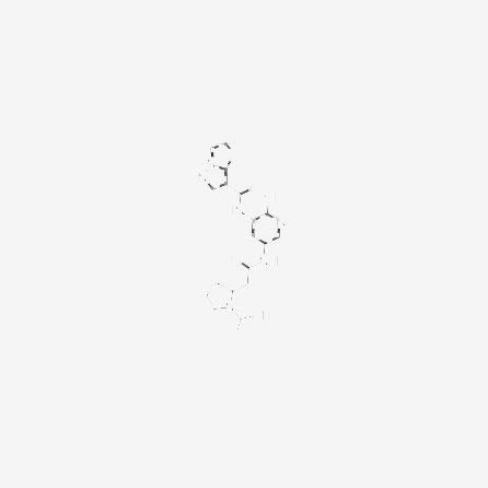 Cc1ncc(NC(=O)CC2CCCN2C(C)C)cc1NC(=O)c1cnn2ccsc12